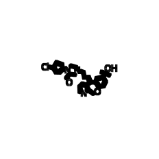 CC(C)(O)c1ccc2c(c1)/C(=C/CCN1CCN(c3ccc(Cl)cc3)C(C=O)C1)c1cccnc1CO2